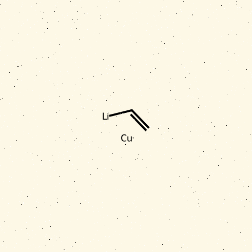 [Cu].[Li][CH]=C